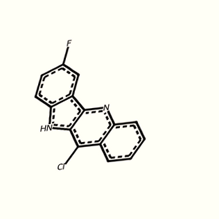 Fc1ccc2[nH]c3c(Cl)c4ccccc4nc3c2c1